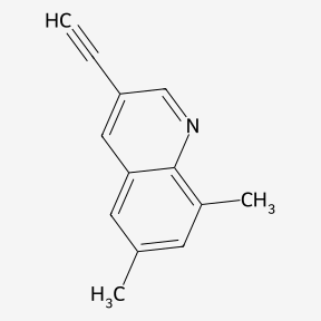 C#Cc1cnc2c(C)cc(C)cc2c1